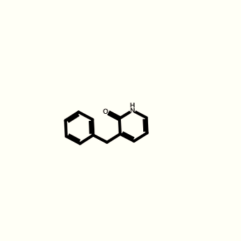 O=c1[nH]cccc1Cc1ccccc1